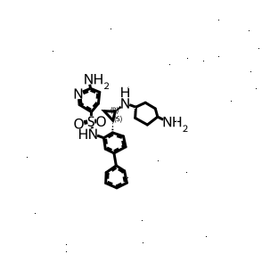 Nc1ccc(S(=O)(=O)Nc2cc(-c3ccccc3)ccc2[C@@H]2C[C@H]2NC2CCC(N)CC2)cn1